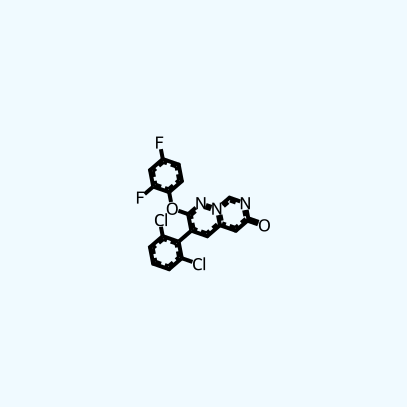 O=c1cc2cc(-c3c(Cl)cccc3Cl)c(Oc3ccc(F)cc3F)nn2cn1